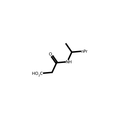 CCCC(C)NC(=O)CC(=O)O